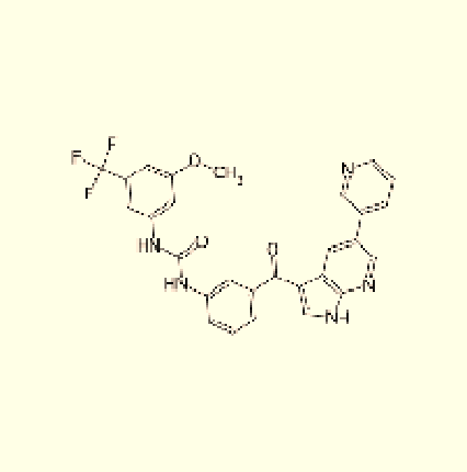 COc1cc(NC(=O)Nc2cccc(C(=O)c3c[nH]c4ncc(-c5cccnc5)cc34)c2)cc(C(F)(F)F)c1